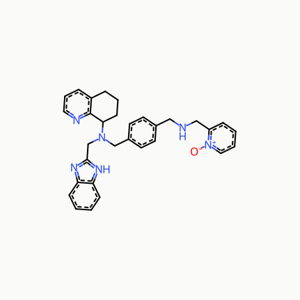 [O-][n+]1ccccc1CNCc1ccc(CN(Cc2nc3ccccc3[nH]2)C2CCCc3cccnc32)cc1